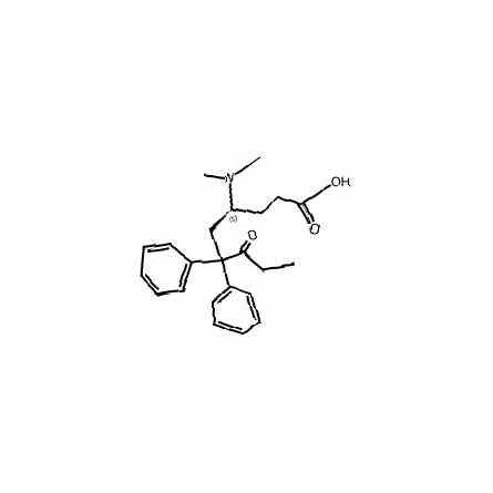 CCC(=O)C(C[C@H](CCC(=O)O)N(C)C)(c1ccccc1)c1ccccc1